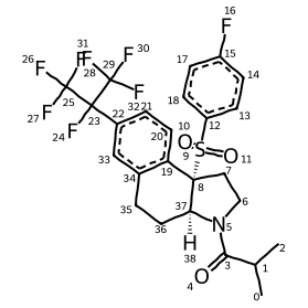 CC(C)C(=O)N1CC[C@]2(S(=O)(=O)c3ccc(F)cc3)c3ccc(C(F)(C(F)(F)F)C(F)(F)F)cc3CC[C@H]12